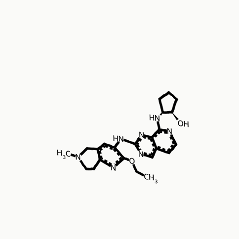 CCOc1nc2c(cc1Nc1ncc3ccnc(N[C@@H]4CCC[C@H]4O)c3n1)CN(C)CC2